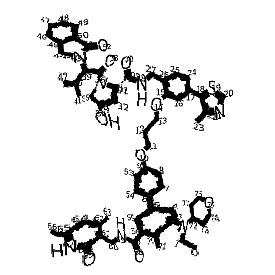 CCN(c1cc(-c2ccc(OCCCOc3cc(-c4scnc4C)ccc3CNC(=O)[C@@H]3C[C@@H](O)CN3C(=O)C(C(C)C)N3Cc4ccccc4C3=O)cc2)cc(C(=O)NCc2c(C)cc(C)[nH]c2=O)c1C)C1CCOCC1